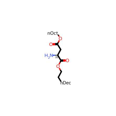 CCCCCCCCCCCCOC(=O)[C@@H](N)CC(=O)OCCCCCCCC